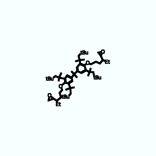 CCC(CCCOc1c(C(C)(C)CC(C)(C)C)cc(C(C)(C)c2cc(C(C)(C)CC(C)(C)C)c(OCCCC(CC)C3CO3)c(C(C)(C)CC(C)(C)C)c2)cc1C(C)(C)CC(C)(C)C)C1CO1